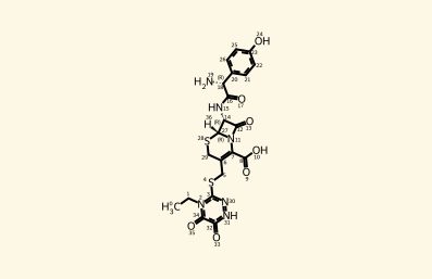 CCn1c(SCC2=C(C(=O)O)N3C(=O)[C@@H](NC(=O)[C@H](N)c4ccc(O)cc4)[C@H]3SC2)n[nH]c(=O)c1=O